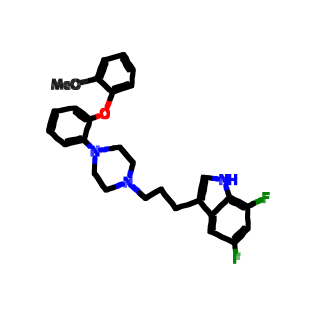 COc1ccccc1Oc1ccccc1N1CCN(CCCc2c[nH]c3c(F)cc(F)cc23)CC1